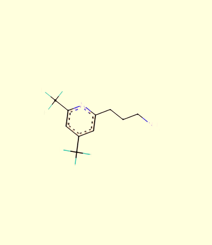 NCCCc1cc(C(F)(F)F)cc(C(F)(F)F)n1